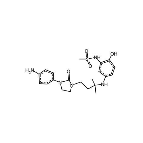 CC(C)(CCN1CCN(c2ccc(N)cc2)C1=O)Nc1ccc(O)c(NS(C)(=O)=O)c1